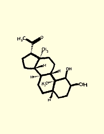 CC(=O)[C@H]1CC[C@H]2[C@@H]3CC[C@H]4CCC(O)C(O)[C@]4(C)[C@H]3CC[C@]12C